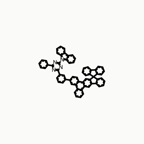 c1ccc(-c2nc(-c3cccc(-c4ccc5c(c4)c4ccccc4c4cc6c(cc54)C4(c5ccccc5-c5ccccc54)c4ccccc4-6)c3)nc(-n3c4ccccc4c4ccccc43)n2)cc1